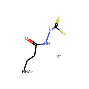 CC(=O)NCCC(=O)NNC(=S)[S-].[K+]